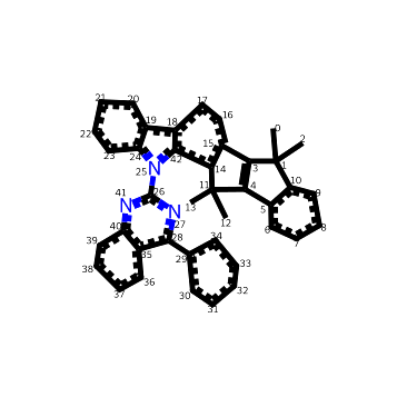 CC1(C)C2=C(c3ccccc31)C(C)(C)c1c2ccc2c3ccccc3n(-c3nc(-c4ccccc4)c4ccccc4n3)c12